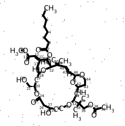 CCCCCCCC(=O)O[C@H]1/C(=C/C(=O)OC)C[C@H]2C[C@H](CO)OC(=O)C[C@H](O)CCO[C@H](C(C)(C)COC(C)=O)C[C@@H]3CCO[C@H](/C=C/C(C)(C)[C@]1(O)O2)O3